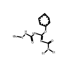 CCN(CC)C(=O)N=C(NC(=O)NSC(C)(C)C)Oc1ccccc1